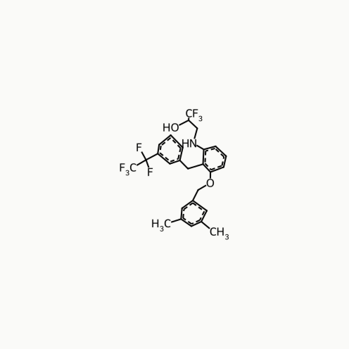 Cc1cc(C)cc(COc2cccc(NCC(O)C(F)(F)F)c2Cc2cccc(C(F)(F)C(F)(F)F)c2)c1